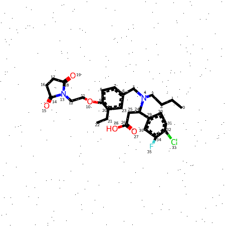 CCCCN(Cc1ccc(OCCN2C(=O)CCC2=O)c(CC)c1)C(CC(=O)O)c1ccc(Cl)c(F)c1